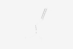 C=C[CH2][Co]([CH3])=[O]